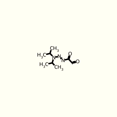 CC(C)N(N=NC(=O)[C]=O)C(C)C